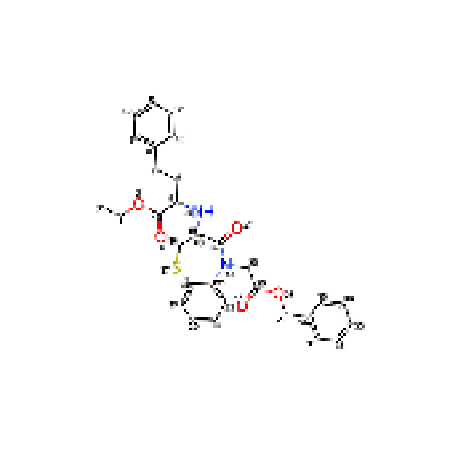 CCOC(=O)C(CCc1ccccc1)N[C@H]1CSc2ccccc2N(CC(=O)OCc2ccccc2)C1=O